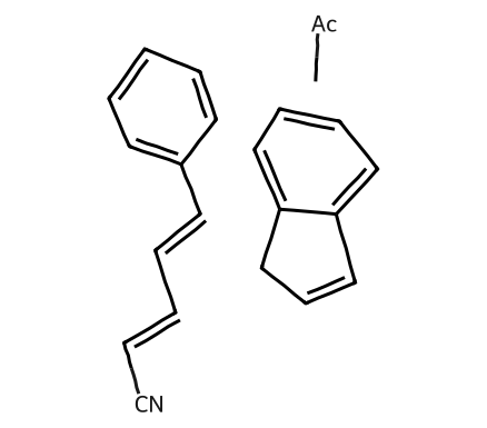 C1=Cc2ccccc2C1.CC(C)=O.N#CC=CC=Cc1ccccc1